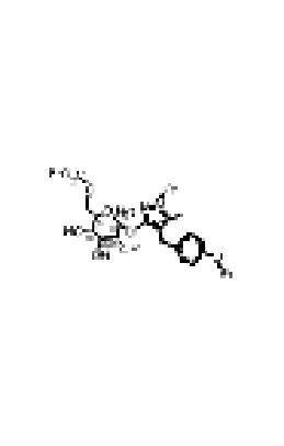 CCOC(=O)OC[C@H]1O[C@@](O)(Oc2nn(C(C)C)c(C)c2Cc2ccc(OC(C)C)cc2)[C@H](O)[C@@H](O)[C@@H]1O